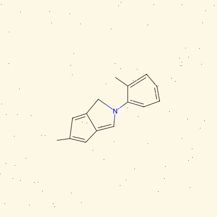 CC1=CC2=CN(c3ccccc3C)CC2=C1